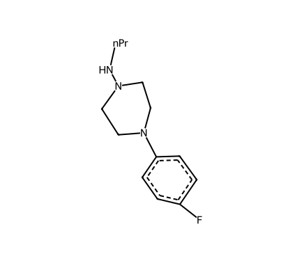 CCCNN1CCN(c2ccc(F)cc2)CC1